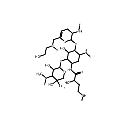 CN(F)C1C(O)C(OC2C(NC(=O)C(O)CCNF)CC(NF)C(OC3OC(CN(F)CCO)=CCC3NF)C2O)OCC1(C)O